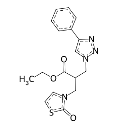 CCOC(=O)C(Cn1cc(-c2ccccc2)nn1)Cn1ccsc1=O